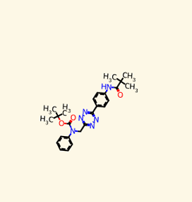 CC(C)(C)OC(=O)N(Cc1nnc(-c2ccc(NC(=O)C(C)(C)C)cc2)nn1)c1ccccc1